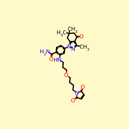 Cc1nn(-c2ccc(C(N)=O)c(NCCCOCCCCN3C(=O)C=CC3=O)c2)c2c1C(=O)CC(C)(C)C2